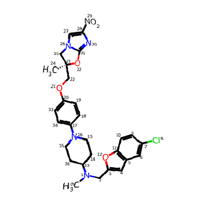 CN(Cc1cc2cc(Cl)ccc2o1)C1CCN(c2ccc(OC[C@@]3(C)Cn4cc([N+](=O)[O-])nc4O3)cc2)CC1